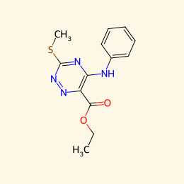 CCOC(=O)c1nnc(SC)nc1Nc1ccccc1